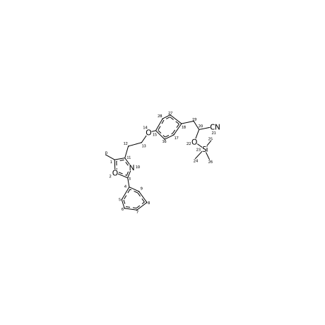 Cc1oc(-c2ccccc2)nc1CCOc1ccc(CC(C#N)O[Si](C)(C)C)cc1